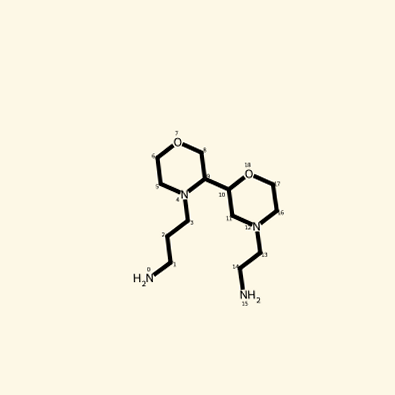 NCCCN1CCOCC1C1CN(CCN)CCO1